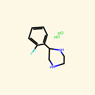 Cl.Cl.Fc1ccccc1C1CNCCN1